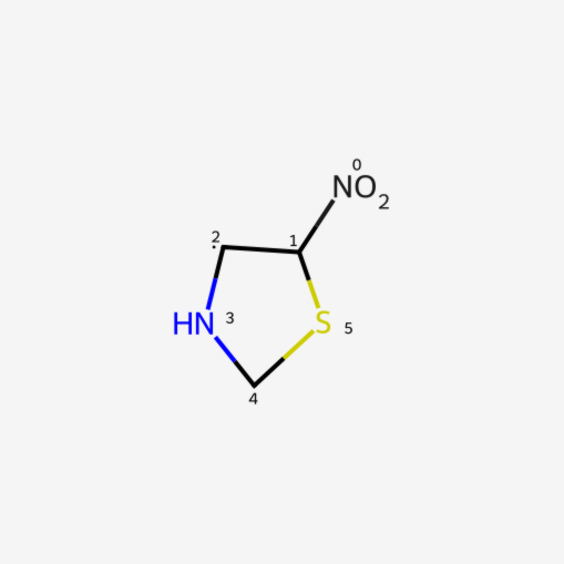 O=[N+]([O-])C1[CH]NCS1